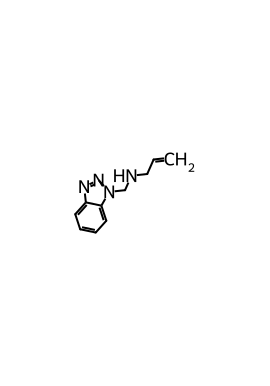 C=CCNCn1nnc2ccccc21